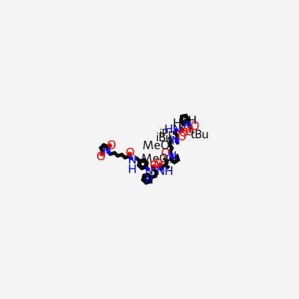 CCC(C)C(C(CC(=O)N1CCC[C@H]1C(OC)C(C)C(=O)NC(Cc1ccccc1)C(=O)Nc1ccc(CNC(=O)CCCCCN2C(=O)C=CC2=O)cc1)OC)N(C)C(=O)C(NC(=O)[C@@H]1[C@H]2CC[C@H](C2)N1C(=O)OC(C)(C)C)C(C)C